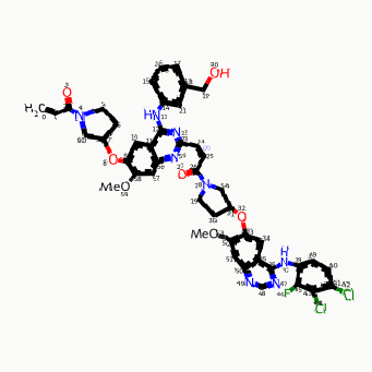 C=CC(=O)N1CCC(Oc2cc3c(Nc4cccc(CO)c4)nc(/C=C\C(=O)N4CCC(Oc5cc6c(Nc7ccc(Cl)c(Cl)c7F)ncnc6cc5OC)C4)nc3cc2OC)C1